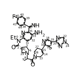 CCN(C(=O)[C@@H]1CCN(C(C)C(=O)N2CC=C(c3ncc(-c4ncn(C)n4)s3)CC2)C1)c1ccc(N)c(C(=N)c2ccc(F)cc2)n1